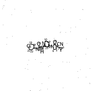 N#C[C@@]1(C2CC2)CCN(c2ccnc(NC(=O)NC3CCOCC3)c2)C1=O